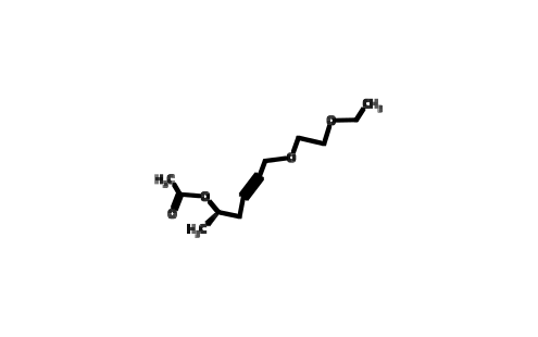 CCOCCOCC#CC[C@@H](C)OC(C)=O